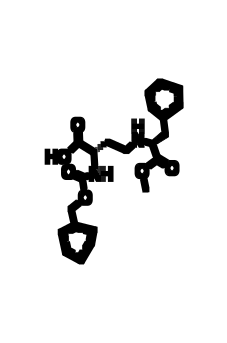 COC(=O)[C@H](Cc1ccccc1)NCC[C@H](NC(=O)OCc1ccccc1)C(=O)O